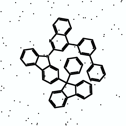 c1ccc(-c2cccc(-c3cc(-n4c5ccccc5c5ccc(C6(c7ccccc7)c7ccccc7-c7ccccc76)cc54)nc4ccccc34)c2)cc1